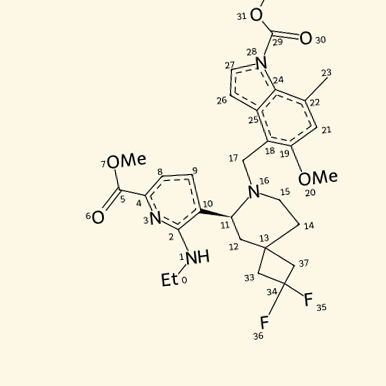 CCNc1nc(C(=O)OC)ccc1[C@@H]1CC2(CCN1Cc1c(OC)cc(C)c3c1ccn3C(=O)OC(C)(C)C)CC(F)(F)C2